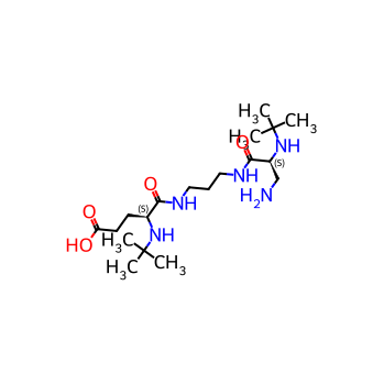 CC(C)(C)N[C@@H](CN)C(=O)NCCCNC(=O)[C@H](CCC(=O)O)NC(C)(C)C